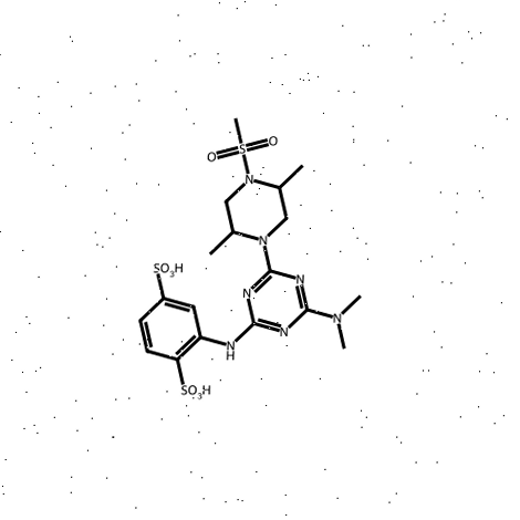 CC1CN(S(C)(=O)=O)C(C)CN1c1nc(Nc2cc(S(=O)(=O)O)ccc2S(=O)(=O)O)nc(N(C)C)n1